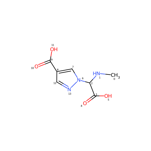 CNC(C(=O)O)n1cc(C(=O)O)cn1